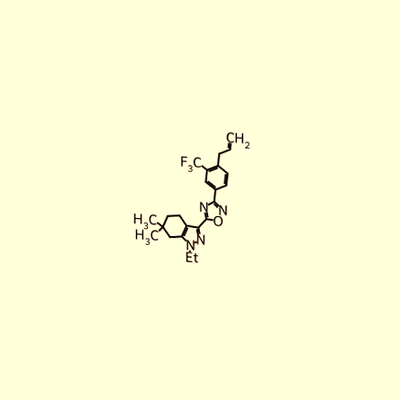 C=CCc1ccc(-c2noc(-c3nn(CC)c4c3CCC(C)(C)C4)n2)cc1C(F)(F)F